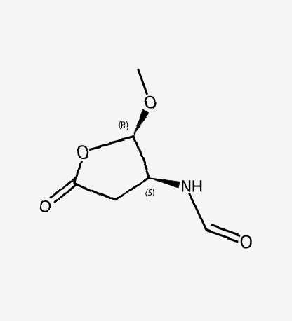 CO[C@@H]1OC(=O)C[C@@H]1NC=O